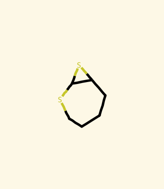 C1CCC2SC2SC1